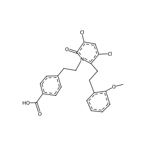 COc1ccccc1CCc1c(Cl)cc(Cl)c(=O)n1CCc1ccc(C(=O)O)cc1